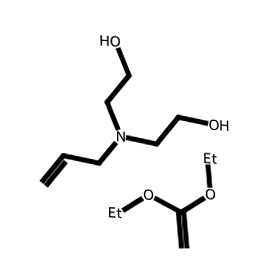 C=C(OCC)OCC.C=CCN(CCO)CCO